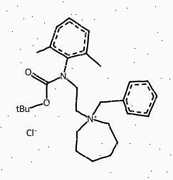 Cc1cccc(C)c1N(CC[N+]1(Cc2ccccc2)CCCCCC1)C(=O)OC(C)(C)C.[Cl-]